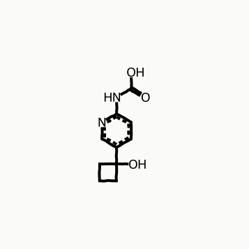 O=C(O)Nc1ccc(C2(O)CCC2)cn1